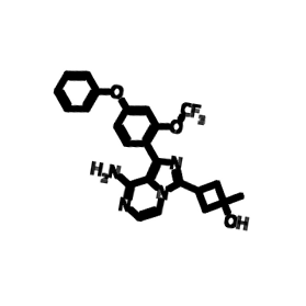 CC1(O)CC(c2nc(-c3ccc(Oc4ccccc4)cc3OC(F)(F)F)c3c(N)nccn23)C1